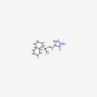 Cc1[nH]cnc1C=CC(=O)c1cccc2ccccc12